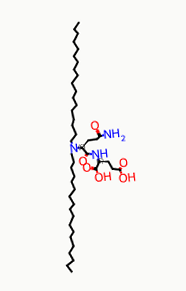 CCCCCCCCCCCCCCCCCCN(CCCCCCCCCCCCCCCCCC)[C@@H](CCC(N)=O)C(=O)N[C@@H](CCC(=O)O)C(=O)O